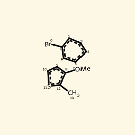 Brc1ccccc1.COc1ccsc1C